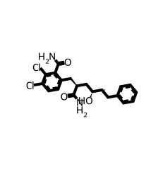 NC(=O)c1c(C[C@@H](C[C@@H](O)[CH]Cc2ccccc2)C(N)=O)ccc(Cl)c1Cl